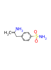 C=C(N)Cc1ccc(S(N)(=O)=O)cc1